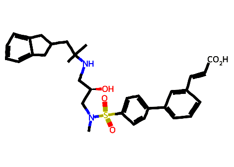 CN(C[C@H](O)CNC(C)(C)CC1Cc2ccccc2C1)S(=O)(=O)c1ccc(-c2cccc(C=CC(=O)O)c2)cc1